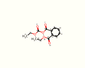 CCOC(=O)OC(=O)c1ccccc1C(=O)OCC